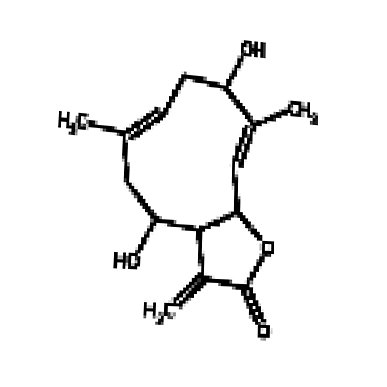 C=C1C(=O)OC2/C=C(\C)C(O)C/C=C(\C)CC(O)C12